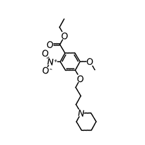 CCOC(=O)c1cc(OC)c(OCCCN2CCCCC2)cc1[N+](=O)[O-]